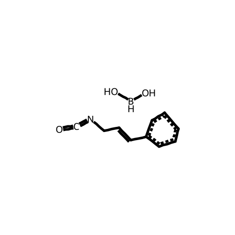 O=C=NCC=Cc1ccccc1.OBO